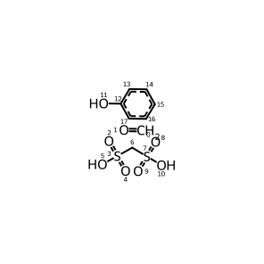 C=O.O=S(=O)(O)CS(=O)(=O)O.Oc1ccccc1